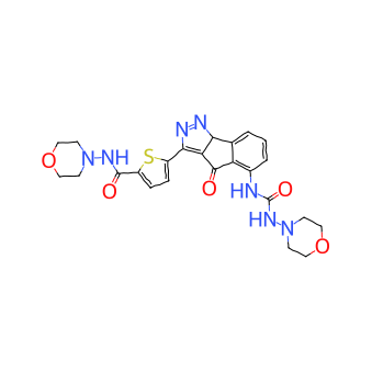 O=C(Nc1cccc2c1C(=O)C1=C(c3ccc(C(=O)NN4CCOCC4)s3)N=NC12)NN1CCOCC1